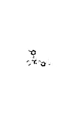 NC(=O)Nc1cccc(Cn2ccc3c(N4CCOCC4)nc(-c4cccc(CO)c4)nc32)c1